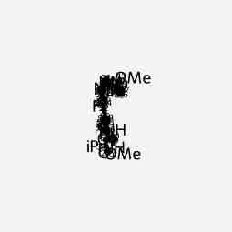 COC(=O)N[C@H](C(=O)N1CCC[C@H]1c1nc2c([nH]1)-c1ccc(C#Cc3ccc(-c4cnc([C@@H]5CCCN5C(=O)[C@H](NC(=O)OC)c5ccccc5)[nH]4)cc3F)cc1CC2)C(C)C